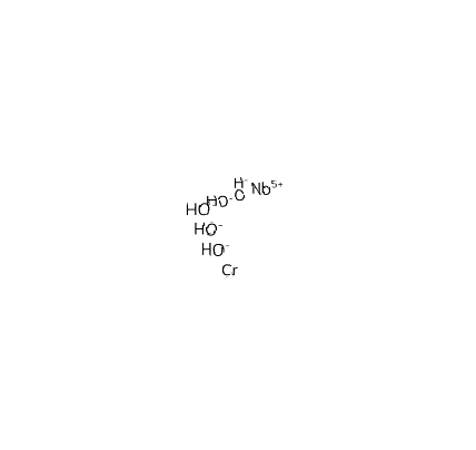 [Cr].[Nb+5].[OH-].[OH-].[OH-].[OH-].[OH-]